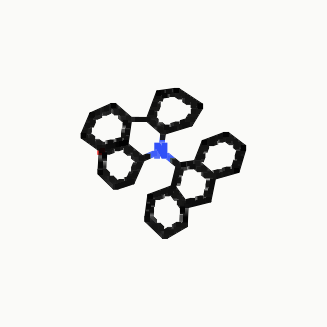 c1ccc(-c2ccccc2N(c2ccccc2)c2c3ccccc3cc3ccccc23)cc1